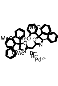 COc1ccccc1C1(c2ccccc2OC)OC(CC2=N[C@H](c3ccccc3)C(c3ccccc3OC)(c3ccccc3OC)O2)=N[C@@H]1c1ccccc1.[Br-].[Br-].[Pd+2]